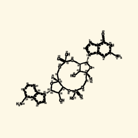 Nc1nc2c(ncn2[C@@H]2O[C@@H]3COP(=O)(S)OC4C(O)[C@H](n5cnc6c(N)ncnc65)O[C@@H]4COP(=O)(O)OC2C3O)c(=O)[nH]1